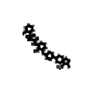 C[C@@H]1OCC2(CCN(c3cnc(Sc4cccc(NC(=O)NS(=O)(=O)c5ccccc5F)c4Cl)cn3)CC2)[C@@H]1N